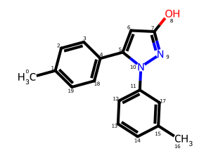 Cc1ccc(-c2cc(O)nn2-c2cccc(C)c2)cc1